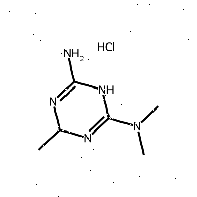 CC1N=C(N)NC(N(C)C)=N1.Cl